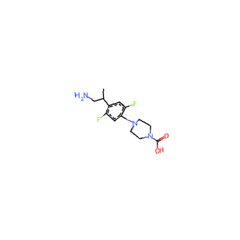 CC(CN)c1cc(F)c(N2CCN(C(=O)O)CC2)cc1F